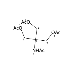 [CH2]C(=O)NC(COC(C)=O)(COC(C)=O)COC(C)=O